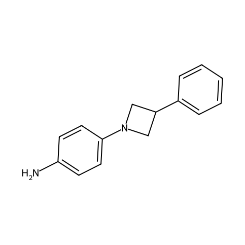 Nc1ccc(N2CC(c3ccccc3)C2)cc1